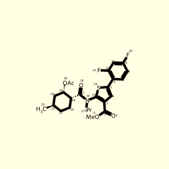 COC(=O)c1cc(-c2ccc(F)cc2F)sc1N(C(=O)[C@@H]1CC[C@@H](C)C[C@@H]1OC(C)=O)C(C)C